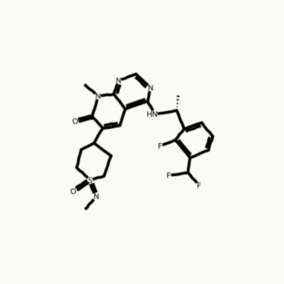 CN=S1(=O)CCC(c2cc3c(N[C@H](C)c4cccc(C(F)F)c4F)ncnc3n(C)c2=O)CC1